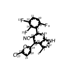 Cc1n[nH]c2nc(-c3c(F)ccc(F)c3F)c(C#N)c(-c3ccc(Cl)o3)c12